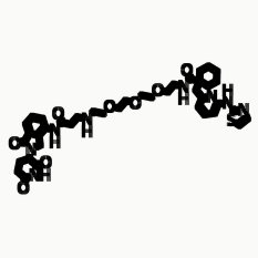 O=C1CCC(N2Cc3c(NC(=O)CCNCCOCCOCCOCCNC(=O)C4(Cc5cccc(Nc6nccs6)n5)CCCCC4)cccc3C2=O)C(=O)N1